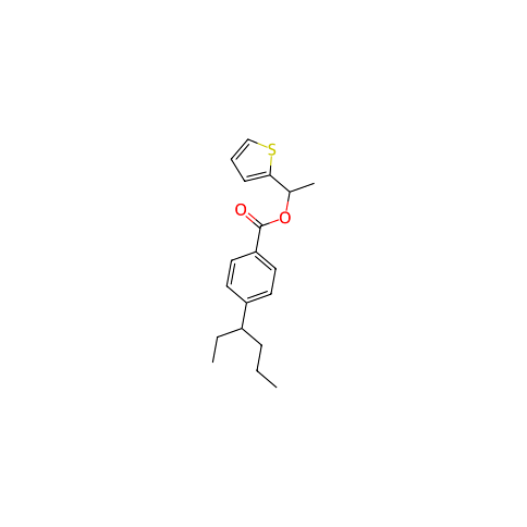 CCCC(CC)c1ccc(C(=O)OC(C)c2cccs2)cc1